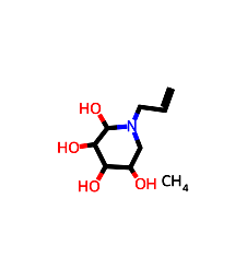 C.C=CCN1CC(O)C(O)C(O)C1O